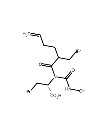 C=CCCC(CC(C)C)C(=O)N(C(=O)NO)[C@@H](CC(C)C)C(=O)O